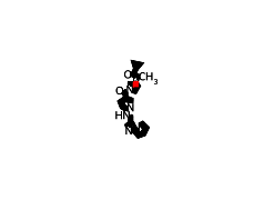 CN(C(=O)C1CC1)[C@H]1CCN(C(=O)c2ccc(NCc3cnc4ccccn34)nc2)C1